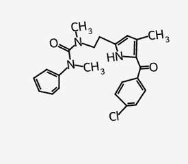 Cc1cc(CCN(C)C(=O)N(C)c2ccccc2)[nH]c1C(=O)c1ccc(Cl)cc1